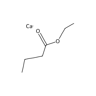 CCCC(=O)OCC.[Ca]